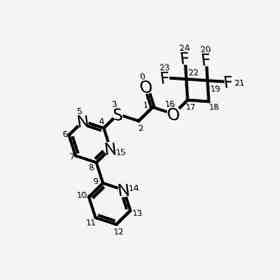 O=C(CSc1nccc(-c2ccccn2)n1)OC1CC(F)(F)C1(F)F